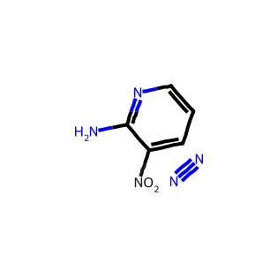 N#N.Nc1ncccc1[N+](=O)[O-]